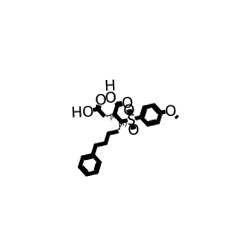 COc1ccc(S(=O)(=O)[C@H](CCCCc2ccccc2)[C@H](CC(=O)O)C(=O)O)cc1